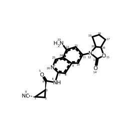 N#C[C@H]1C[C@@H]1C(=O)Nc1cc2cc(N3C(=O)OC4CCCC43)cc(N)c2cn1